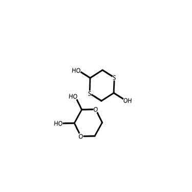 OC1CSC(O)CS1.OC1OCCOC1O